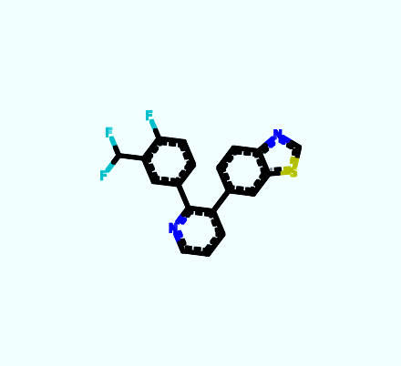 Fc1ccc(-c2ncccc2-c2ccc3ncsc3c2)cc1C(F)F